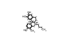 CCCCN1Cc2c(ccc(O)c2C)[C@@H]2c3cc(O)c(O)cc3CC[C@H]21